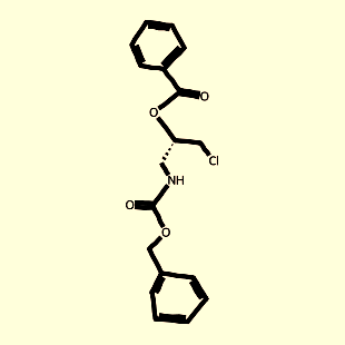 O=C(NC[C@@H](CCl)OC(=O)c1ccccc1)OCc1ccccc1